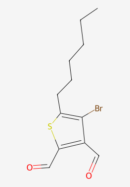 CCCCCCc1sc(C=O)c(C=O)c1Br